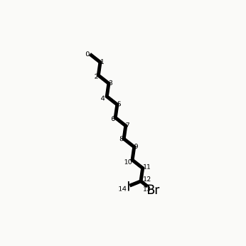 CCCCCCCCCCCCC(Br)I